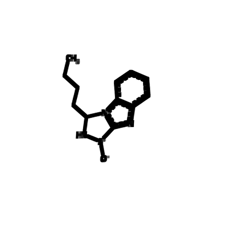 CCCCC1N[S+]([O-])c2nc3ccccc3n21